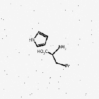 CC(C)CC(N)C(=O)O.c1cc[nH]c1